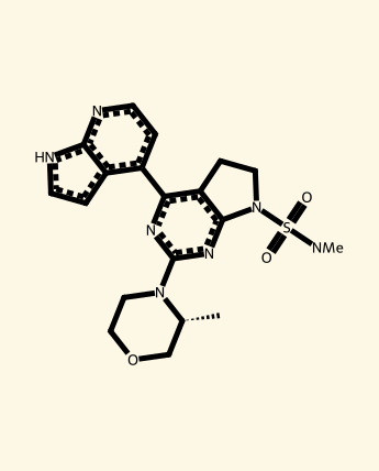 CNS(=O)(=O)N1CCc2c(-c3ccnc4[nH]ccc34)nc(N3CCOC[C@H]3C)nc21